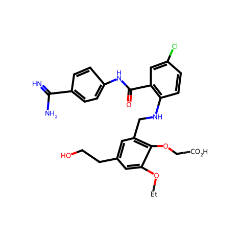 CCOc1cc(CCO)cc(CNc2ccc(Cl)cc2C(=O)Nc2ccc(C(=N)N)cc2)c1OCC(=O)O